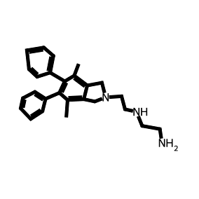 Cc1c2c(c(C)c(-c3ccccc3)c1-c1ccccc1)CN(CCNCCN)C2